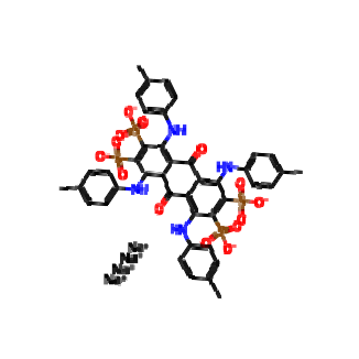 Cc1ccc(Nc2c3c(c(Nc4ccc(C)cc4)c(S(=O)(=O)[O-])c2S(=O)(=O)[O-])C(=O)c2c(Nc4ccc(C)cc4)c(S(=O)(=O)[O-])c(S(=O)(=O)[O-])c(Nc4ccc(C)cc4)c2C3=O)cc1.[Na+].[Na+].[Na+].[Na+]